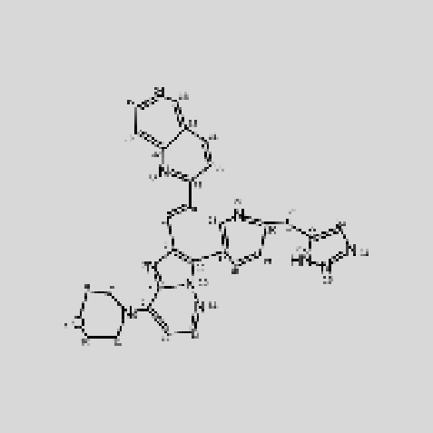 C(=Cc1nc2c(N3CCOCC3)ccnn2c1-c1ccc(Sc2cnn[nH]2)nc1)c1ccc2ccccc2n1